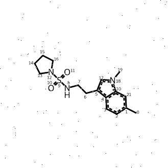 Cc1ccc2c(CCNS(=O)(=O)N3CCCC3)cn(C)c2c1